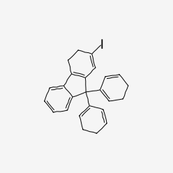 IC1=CC2=C(CC1)c1ccccc1C2(C1=CCCC=C1)C1=CCCC=C1